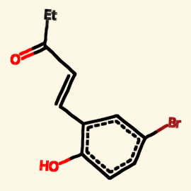 CCC(=O)C=Cc1cc(Br)ccc1O